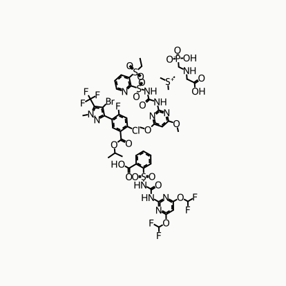 CC(C)OC(=O)c1cc(-c2nn(C)c(C(F)(F)F)c2Br)c(F)cc1Cl.CCS(=O)(=O)c1cccnc1S(=O)(=O)NC(=O)Nc1nc(OC)cc(OC)n1.C[S+](C)C.O=C(Nc1nc(OC(F)F)cc(OC(F)F)n1)NS(=O)(=O)c1ccccc1C(=O)O.O=C(O)CNCP(=O)([O-])O